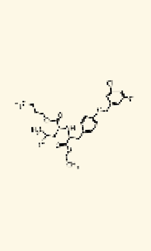 CCCCOC(=O)[C@H](CC(C)C)N[C@@H](Cc1ccc(OCc2cc(Cl)cc(Cl)c2)cc1)C(=O)OCC